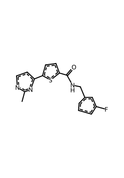 Cc1nccc(-c2ccc(C(=O)NCc3cccc(F)c3)s2)n1